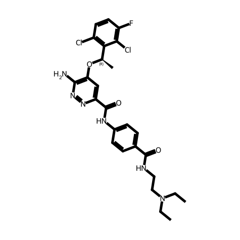 CCN(CC)CCNC(=O)c1ccc(NC(=O)c2cc(O[C@H](C)c3c(Cl)ccc(F)c3Cl)c(N)nn2)cc1